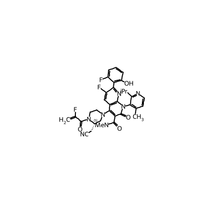 C=C(F)C(=O)N1CCN(c2c(C(=O)NC)c(=O)n(-c3c(C)ccnc3C(C)C)c3nc(-c4c(O)cccc4F)c(F)cc23)C[C@@H]1CC#N